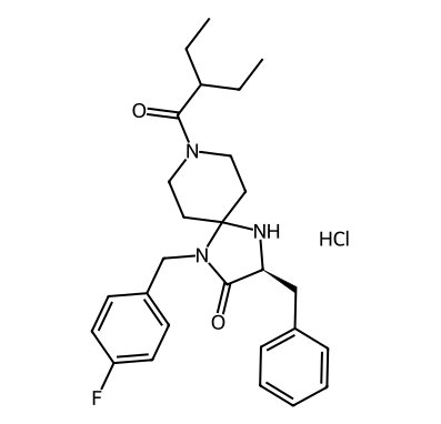 CCC(CC)C(=O)N1CCC2(CC1)N[C@@H](Cc1ccccc1)C(=O)N2Cc1ccc(F)cc1.Cl